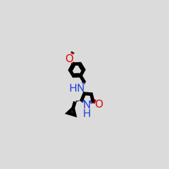 COc1ccc(CN[C@@H]2CC(=O)N[C@@H]2CC2CC2)cc1